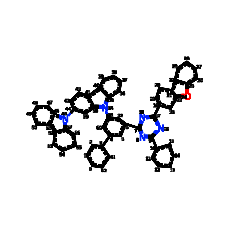 c1ccc(-c2cc(-c3nc(-c4ccccc4)nc(-c4ccc5c(c4)oc4ccccc45)n3)cc(-n3c4ccccc4c4ccc(-n5c6ccccc6c6ccccc65)cc43)c2)cc1